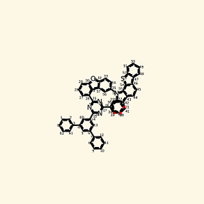 c1ccc(-c2cc(-c3ccccc3)cc(-c3nc(-c4ccccc4)nc(-c4cccc5oc6ccc(-n7c8ccccc8c8ccc9c%10ccccc%10sc9c87)cc6c45)n3)c2)cc1